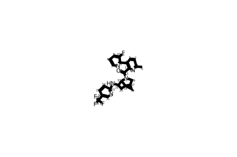 Cc1ccc(-c2ncccc2F)c(C(=O)N2CC3CC34CC(Nc3ccc(C(F)(F)F)cn3)C24)n1